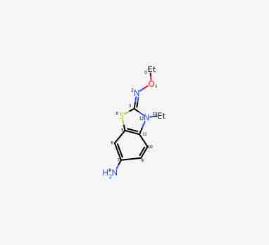 CCON=c1sc2cc(N)ccc2n1CC